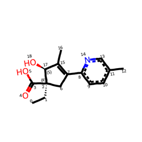 CC[C@@]1(C(=O)O)CC(c2ccc(C)cn2)=C(C)[C@@H]1O